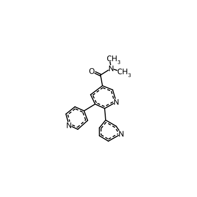 CN(C)C(=O)c1cnc(-c2cccnc2)c(-c2ccncc2)c1